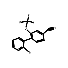 N#Cc1ccc(-c2ccccc2Br)c(OC(F)(F)F)c1